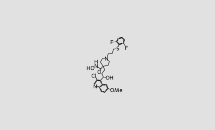 COc1ccc2ncc(Cl)c([C@H](O)CCC3(C(=O)NO)CCN(CCCSc4c(F)cccc4F)CC3)c2c1